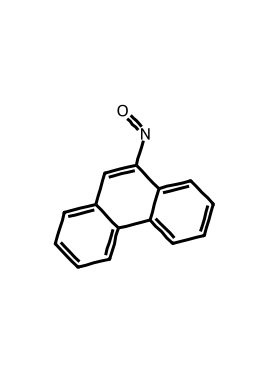 O=Nc1cc2ccccc2c2ccccc12